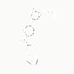 O=C(CC1C=CC=CC1)Nc1ccc(-c2cnn(CC(F)(F)F)c2)cn1